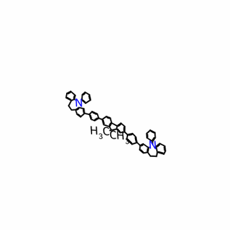 CC1(C)c2cc(-c3ccc(-c4ccc5c(c4)N(c4ccccc4)c4ccccc4CC5)cc3)ccc2-c2ccc(-c3ccc(-c4ccc5c(c4)N(c4ccccc4)c4ccccc4CC5)cc3)cc21